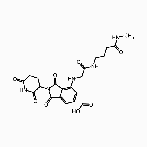 CNC(=O)CCCNC(=O)CNc1cccc2c1C(=O)N(C1CCC(=O)NC1=O)C2=O.O=CO